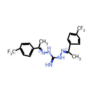 C/C(=N\NC(=N)N/N=C(\C)c1ccc(C(F)(F)F)cc1)c1ccc(C(F)(F)F)cc1